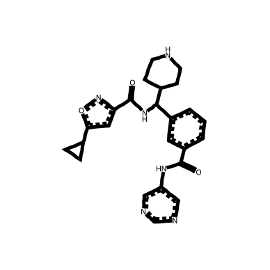 O=C(Nc1cncnc1)c1cccc(C(NC(=O)c2cc(C3CC3)on2)C2CCNCC2)c1